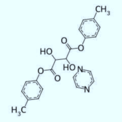 Cc1ccc(OC(=O)C(O)C(O)C(=O)Oc2ccc(C)cc2)cc1.c1cnccn1